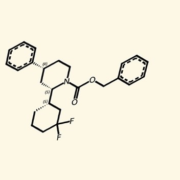 O=C(OCc1ccccc1)N1CC[C@@H](c2ccccc2)C[C@H]1[C@H]1CCCC(F)(F)C1